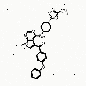 Cc1nnc([C@H]2CC[C@H](Nc3ncnc4[nH]cc(C(=O)c5ccc(Oc6ccccc6)cc5)c34)CC2)o1